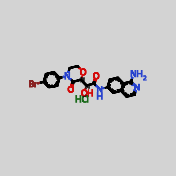 Cl.Nc1nccc2cc(NC(=O)[C@H](O)[C@H]3OCCN(c4ccc(Br)cc4)C3=O)ccc12